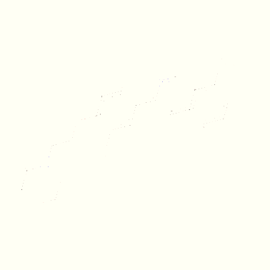 COc1cc(OC)c2cnc(-c3cc(C)c(OCCN4CCOCC4)c(C)c3)cc2c1